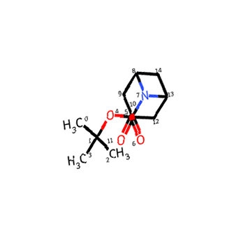 CC(C)(C)OC(=O)N1C2CC(=O)CC1C2